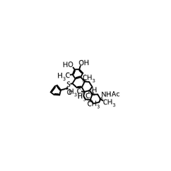 CC(=O)N[C@]1(C)CC[C@]2(C)CC[C@]3(C)C4=CC(SC(=O)c5ccccc5)c5c(cc(O)c(O)c5C)[C@]4(C)CC[C@@]3(C)[C@@H]2C1